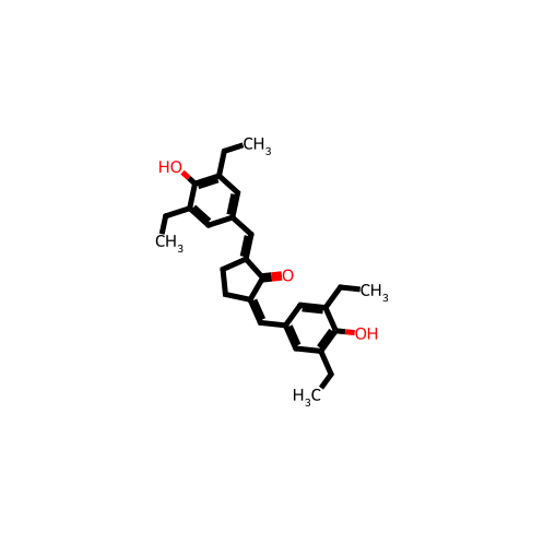 CCc1cc(/C=C2/CC/C(=C\c3cc(CC)c(O)c(CC)c3)C2=O)cc(CC)c1O